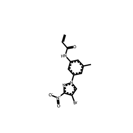 C=CC(=O)Nc1cc(C)cc(-n2cc(Br)c([N+](=O)[O-])n2)c1